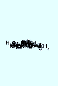 CS(=O)(=O)CCCOc1cccc2c(-c3ccnc(N[C@H]4CC[C@H](NS(C)(=O)=O)CC4)n3)n[nH]c12